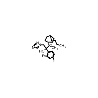 CCCC1C2CC[N+]1([C@@H](C)[C@@](O)(Cn1cncn1)c1ccc(F)cc1F)CC2